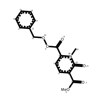 COC(=O)c1ccc(C(=O)OOCc2ccccc2)n(C)c1=O